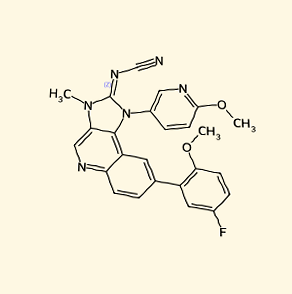 COc1ccc(-n2/c(=N\C#N)n(C)c3cnc4ccc(-c5cc(F)ccc5OC)cc4c32)cn1